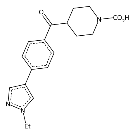 CCn1cc(-c2ccc(C(=O)C3CCN(C(=O)O)CC3)cc2)cn1